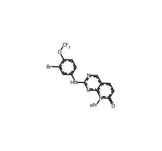 CCCn1c(=O)ccc2cnc(Nc3ccc(OC(F)(F)F)c(Br)c3)nc21